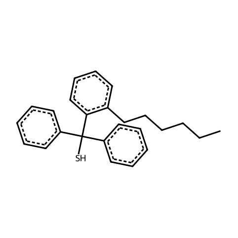 CCCCCCc1ccccc1C(S)(c1ccccc1)c1ccccc1